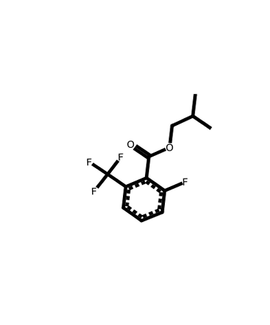 CC(C)COC(=O)c1c(F)cccc1C(F)(F)F